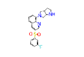 O=S(=O)(c1cccc(F)c1)c1cnc2c(N3CC4CCNC4C3)cccc2c1